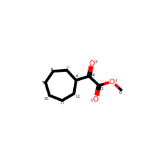 COC(=O)C(=O)C1CCCCCC1